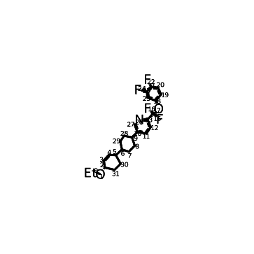 CCOC1C=CC(C2CCC(c3ccc(C(F)(F)Oc4ccc(F)c(F)c4)nc3)CC2)CC1